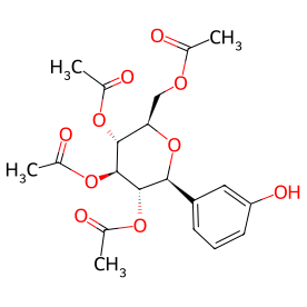 CC(=O)OC[C@H]1O[C@@H](c2cccc(O)c2)[C@H](OC(C)=O)[C@@H](OC(C)=O)[C@@H]1OC(C)=O